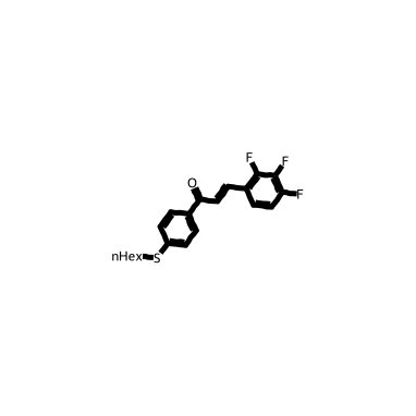 CCCCCCSc1ccc(C(=O)C=Cc2ccc(F)c(F)c2F)cc1